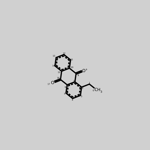 CCc1cccc2c1C(=O)c1ccccc1C2=O